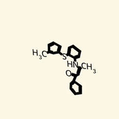 C/C(=C/C(=O)c1ccccc1)Nc1ccccc1Sc1cccc(C)c1